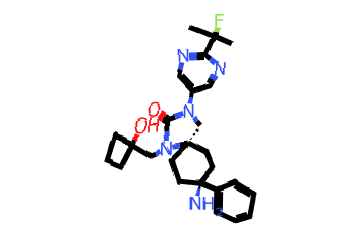 CC(C)(F)c1ncc(N2C[C@]3(CC[C@@](N)(c4ccccc4)CC3)N(CC3(O)CCC3)C2=O)cn1